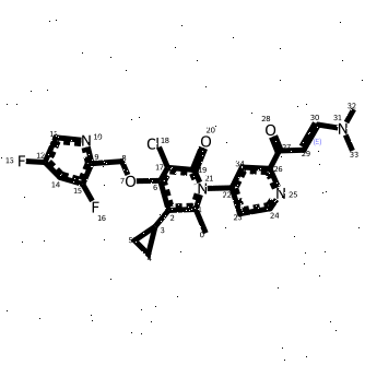 Cc1c(C2CC2)c(OCc2ncc(F)cc2F)c(Cl)c(=O)n1-c1ccnc(C(=O)/C=C/N(C)C)c1